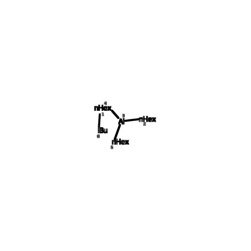 CCC(C)C.CCCCC[CH2][Al]([CH2]CCCCC)[CH2]CCCCC